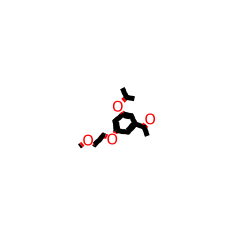 COCCOc1cc(OC(C)C)cc(C(C)=O)c1